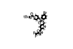 CC(C)(C)OC(=O)N1CCC(n2c(=O)n(Cc3ccc(-c4nnc(C(F)F)o4)cn3)c3ccc(Br)cc32)CC1